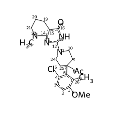 COc1ccc(Cl)c(C2(C(C)=O)CCN(c3nc4c(c(=O)[nH]3)CCCN4C)CC2)c1C